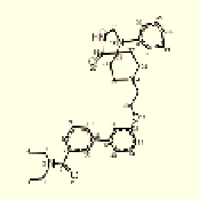 CCN(CC)C(=O)c1cccc(-c2cccc(OCCN3CCC4(CC3)C(=O)NCN4c3ccccc3)c2)c1